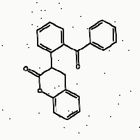 O=C(c1ccccc1)c1ccccc1C1Cc2ccccc2OC1=O